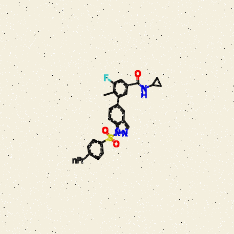 CCCc1ccc(S(=O)(=O)n2ncc3cc(-c4cc(C(=O)NC5CC5)cc(F)c4C)ccc32)cc1